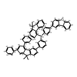 CC1(C)c2ccc(-c3cccc(N(c4ccc(-c5ccc6oc7ccccc7c6c5)cc4)c4cccc5c4-c4ccccc4C5(C)C)c3)cc2-c2c(-c3ccccc3)cc(-c3ccccc3)cc21